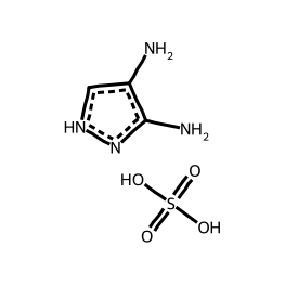 Nc1c[nH]nc1N.O=S(=O)(O)O